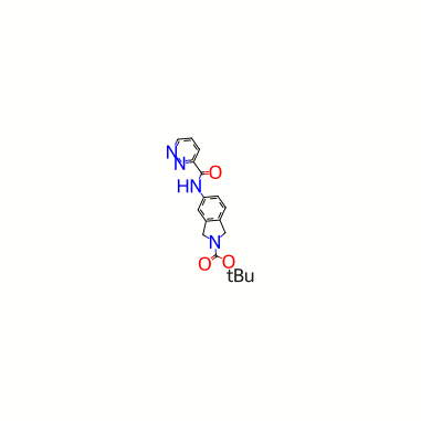 CC(C)(C)OC(=O)N1Cc2ccc(NC(=O)c3cccnn3)cc2C1